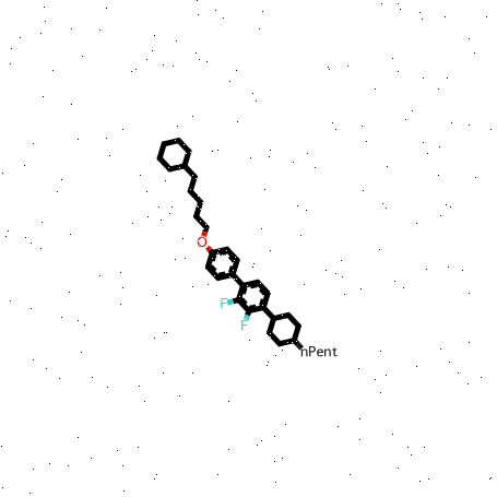 CCCCCC1CCC(c2ccc(-c3ccc(OCCCCCC4CCCCC4)cc3)c(F)c2F)CC1